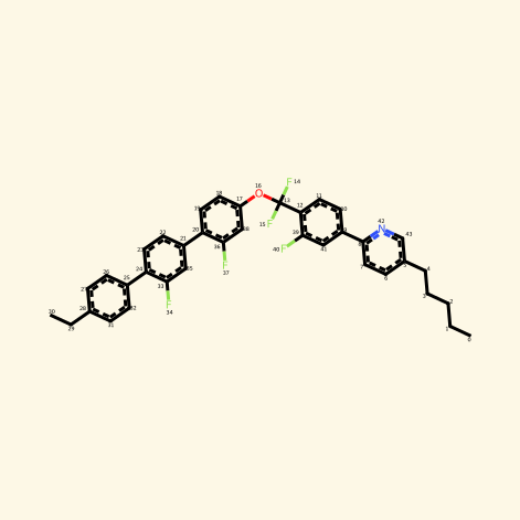 CCCCCc1ccc(-c2ccc(C(F)(F)Oc3ccc(-c4ccc(-c5ccc(CC)cc5)c(F)c4)c(F)c3)c(F)c2)nc1